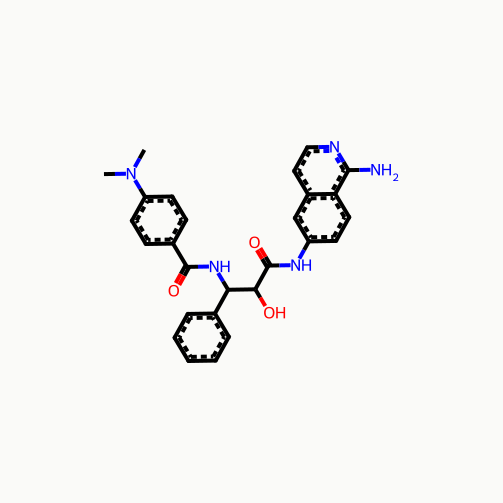 CN(C)c1ccc(C(=O)NC(c2ccccc2)C(O)C(=O)Nc2ccc3c(N)nccc3c2)cc1